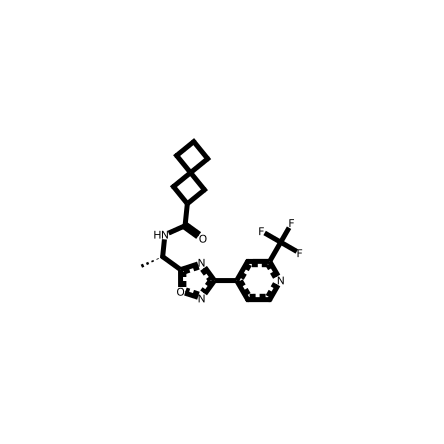 C[C@H](NC(=O)C1CC2(CCC2)C1)c1nc(-c2ccnc(C(F)(F)F)c2)no1